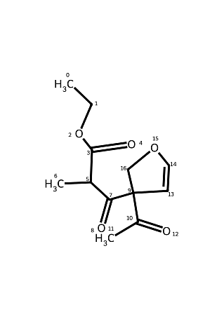 CCOC(=O)C(C)C(=O)C1(C(C)=O)C=COC1